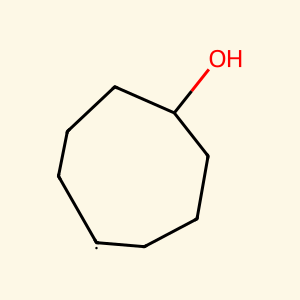 OC1CCC[CH]CCC1